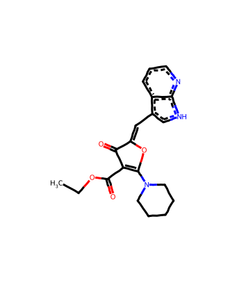 CCOC(=O)C1=C(N2CCCCC2)OC(=Cc2c[nH]c3ncccc23)C1=O